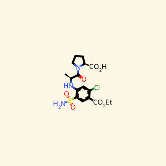 CCOC(=O)c1cc(S(N)(=O)=O)c(N[C@@H](C)C(=O)N2CCC[C@H]2C(=O)O)cc1Cl